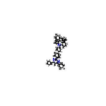 Cc1c(-c2ccccc2)nc(-c2ccc(-c3ccc(N4c5ccccc5C5(c6ccccc6-c6ccccc65)c5ccccc54)cc3)cc2)nc1-c1ccccc1